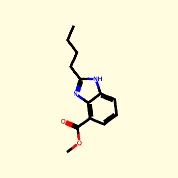 CCCCc1nc2c(C(=O)OC)cccc2[nH]1